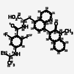 CC[C@@H](Nc1cc(F)c(C(=O)N[C@@H](Cc2ccc(-c3cc4ccccc4n(C)c3=O)c3ncccc23)C(=O)O)c(F)c1)C(F)(F)F